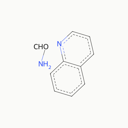 NC=O.c1ccc2ncccc2c1